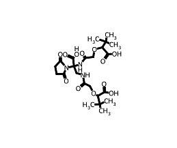 CC(C)(C)C(OCC(=O)NCC(NC(=O)COC(C(=O)O)C(C)(C)C)(C(=O)O)N1C(=O)CCC1=O)C(=O)O